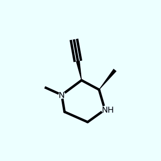 C#C[C@H]1[C@@H](C)NCCN1C